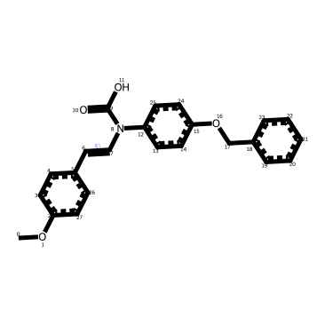 COc1ccc(/C=C/N(C(=O)O)c2ccc(OCc3ccccc3)cc2)cc1